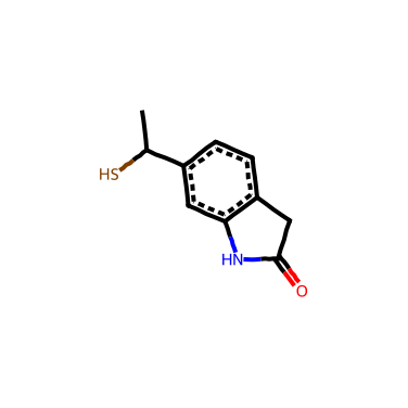 CC(S)c1ccc2c(c1)NC(=O)C2